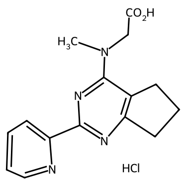 CN(CC(=O)O)c1nc(-c2ccccn2)nc2c1CCC2.Cl